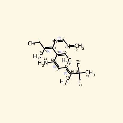 C=N\C=N/C(=C(/C)CCl)C(=C/C)/C(N)=C\C=C(/C)C(C)(F)F